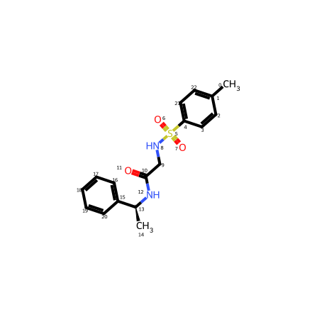 Cc1ccc(S(=O)(=O)NCC(=O)N[C@@H](C)c2ccccc2)cc1